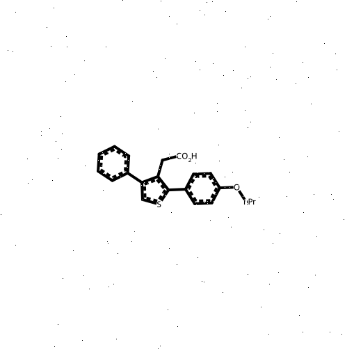 CCCOc1ccc(-c2scc(-c3ccccc3)c2CC(=O)O)cc1